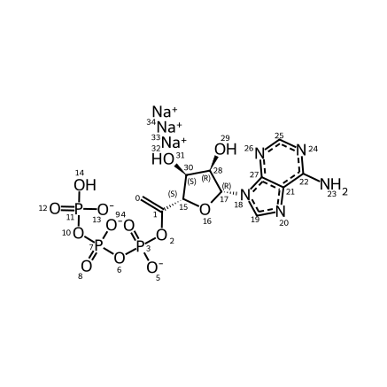 C=C(OP(=O)([O-])OP(=O)([O-])OP(=O)([O-])O)[C@H]1O[C@@H](n2cnc3c(N)ncnc32)[C@H](O)[C@@H]1O.[Na+].[Na+].[Na+]